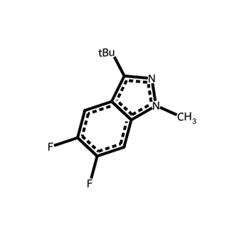 Cn1nc(C(C)(C)C)c2cc(F)c(F)cc21